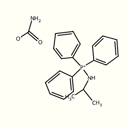 CC(C)N[P+](c1ccccc1)(c1ccccc1)c1ccccc1.NC(=O)[O-]